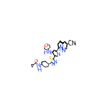 N#Cc1cnn2c(-c3cc(NC4CCOCC4)c(-c4nnc(C5CCC(NC(=O)C6CC6)CC5)s4)cn3)ccc2c1